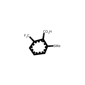 CSc1cccc(C(F)(F)F)c1C(=O)O